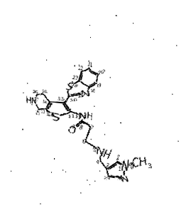 Cn1cc(CNCCC(=O)Nc2sc3c(c2-c2nc4ccccc4s2)CCNC3)cn1